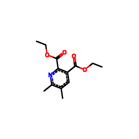 CCOC(=O)c1cc(C)c(C)nc1C(=O)OCC